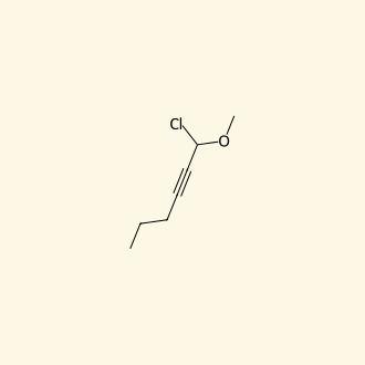 CCCC#CC(Cl)OC